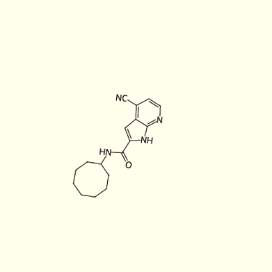 N#Cc1ccnc2[nH]c(C(=O)NC3CCCCCCC3)cc12